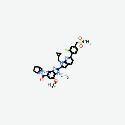 COc1cc(C(=O)N2CC3CCC2C3N)cc2nc(-c3cc4ccc(-c5ccc(CS(C)(=O)=O)cc5F)nc4n3CC3CC3)n(C)c12